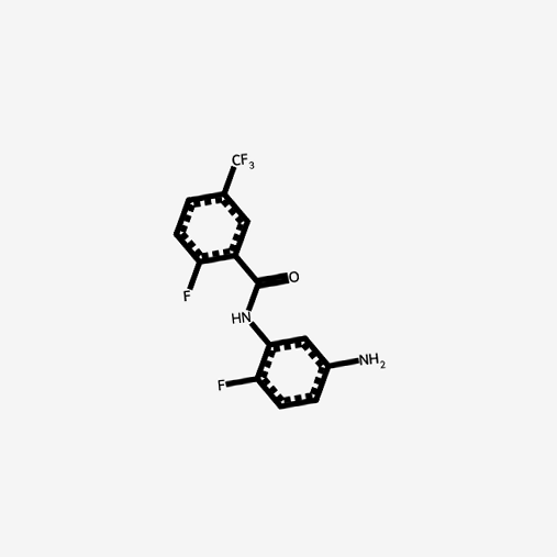 Nc1ccc(F)c(NC(=O)c2cc(C(F)(F)F)ccc2F)c1